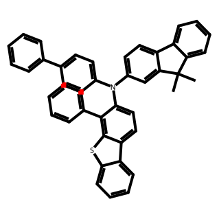 CC1(C)c2ccccc2-c2ccc(N(c3ccc(-c4ccccc4)cc3)c3ccc4c(sc5ccccc54)c3-c3ccccc3)cc21